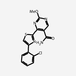 COc1ncc(C(N)=O)c(-c2nc(-c3ccccc3Cl)cs2)n1